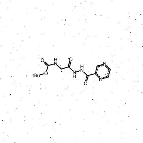 CC(C)(C)OC(=O)NCC(=O)NNC(=O)c1cnccn1